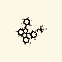 F[B-](F)(F)F.O=C(C[P+](c1ccccc1)(c1ccccc1)c1ccccc1)c1ccccc1